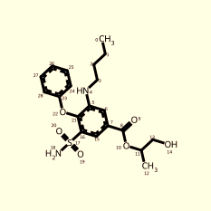 CCCCNc1cc(C(=O)OC(C)CO)cc(S(N)(=O)=O)c1Oc1ccccc1